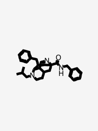 CC(C)CN1CCC2CC3(C(=O)NCc4ccccc4)N=CC2C1C3Cc1ccccc1